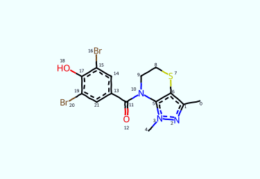 Cc1nn(C)c2c1SCCN2C(=O)c1cc(Br)c(O)c(Br)c1